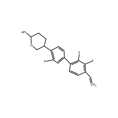 C=Cc1ccc(-c2ccc(C3CCC(CCC)OC3)c(F)c2)c(F)c1F